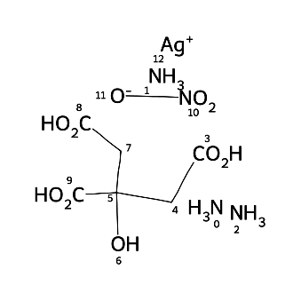 N.N.N.O=C(O)CC(O)(CC(=O)O)C(=O)O.O=[N+]([O-])[O-].[Ag+]